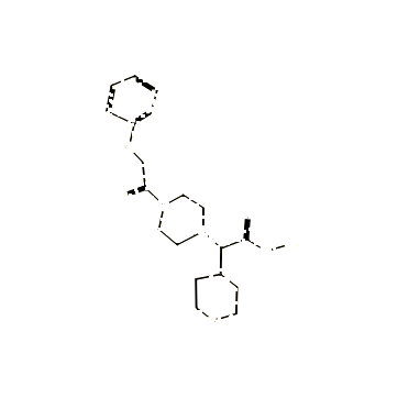 CC(C)(C)OC(=O)C(C1CCNCC1)N1CCN(C(=O)CNc2ccccc2)CC1